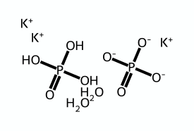 O.O.O=P(O)(O)O.O=P([O-])([O-])[O-].[K+].[K+].[K+]